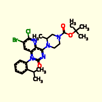 CC(C)c1ccccc1-n1c(=O)nc(N2CCN(C(=O)OC(C)(C)C)CC2C)c2nc(Cl)c(Br)cc21